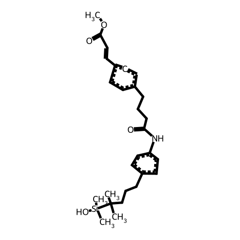 COC(=O)/C=C/c1ccc(CCCC(=O)Nc2ccc(CCCC(C)(C)[Si](C)(C)O)cc2)cc1